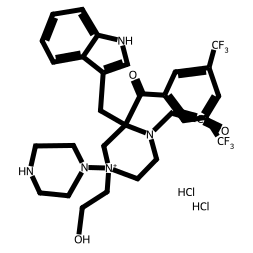 Cl.Cl.O=C=CN1CC[N+](CCO)(N2CCNCC2)CC1(Cc1c[nH]c2ccccc12)C(=O)c1cc(C(F)(F)F)cc(C(F)(F)F)c1